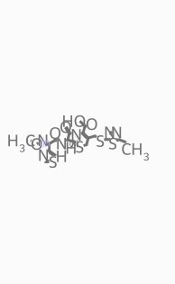 CCc1nnc(SCC2=C(C(=O)O)N3C(=O)C(NC(=O)/C(=N/OC)c4cscn4)[C@H]3SC2)s1